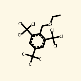 CCO[CH]c1c(C(Cl)(Cl)Cl)cc(C(Cl)(Cl)Cl)cc1C(Cl)(Cl)Cl